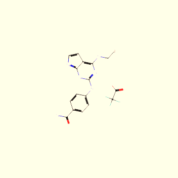 CC(C)CNc1nc(Nc2ccc(C(N)=O)cc2)[nH]c2nccc1-2.O=C(O)C(F)(F)F